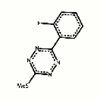 CSc1nnc(-c2ccccc2F)nn1